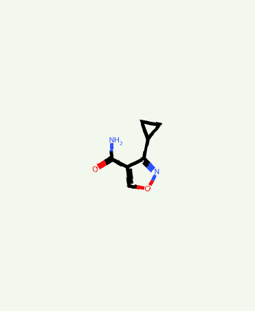 NC(=O)c1[c]onc1C1CC1